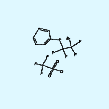 FC(F)(Br)C(F)(F)[I+]c1ccccc1.O=S(=O)([O-])C(F)(F)F